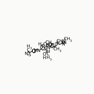 Cc1ncsc1-c1ccc(CNC(=O)CN(C[C@@H](C)O)C(=O)C(NC(=O)CC(C)(C)CON(C)Cc2cn(C)nn2)C(C)(C)C)cc1